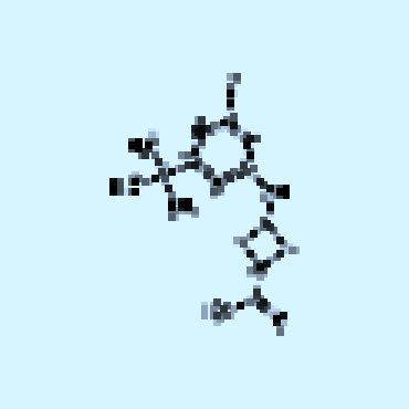 CC(=O)N1CC(Nc2cc(Cl)nc(C(C)(C)C)n2)C1